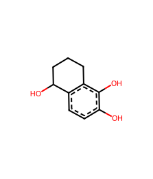 Oc1ccc2c(c1O)CCCC2O